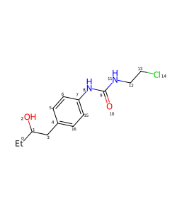 CCC(O)Cc1ccc(NC(=O)NCCCl)cc1